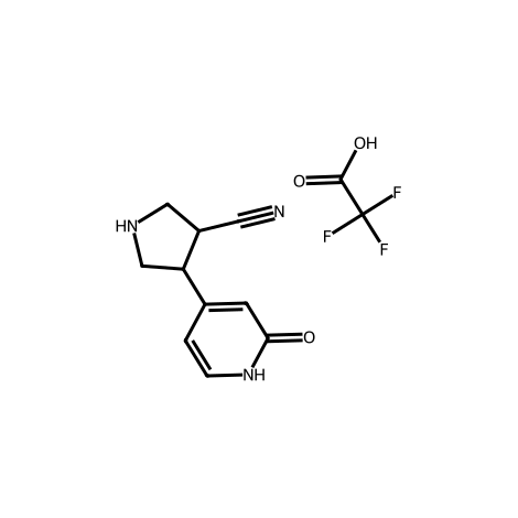 N#CC1CNCC1c1cc[nH]c(=O)c1.O=C(O)C(F)(F)F